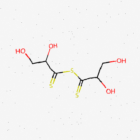 OCC(O)C(=S)SC(=S)C(O)CO